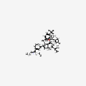 C/C=C(\C)c1ccnc(-c2nc3nc(C(=O)O)nc(NC(C)C4CCC4)c3n2Cc2ccc(C(F)(F)F)cc2)c1